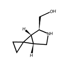 OC[C@H]1NC[C@H]2[C@@H]1C21CC1